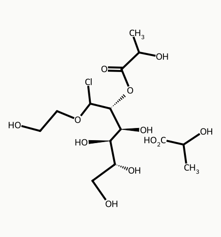 CC(O)C(=O)O.CC(O)C(=O)O[C@@H](C(Cl)OCCO)[C@@H](O)[C@H](O)[C@H](O)CO